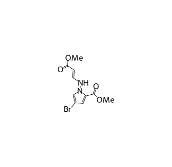 COC(=O)C=CNn1cc(Br)cc1C(=O)OC